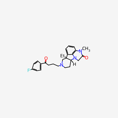 CC[C@]12CN(CCCC(=O)c3ccc(F)cc3)CC[C@H]1N1CC(=O)N(C)c3cccc2c31